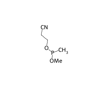 COP(C)OCCC#N